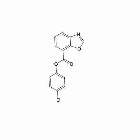 O=C(Oc1ccc(Cl)cc1)c1cccc2ncoc12